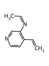 C=Cc1ccncc1/N=C\C